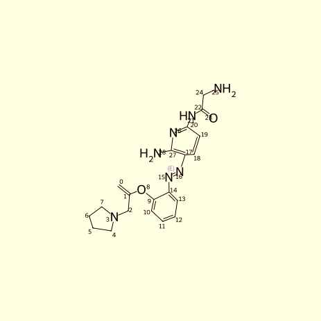 C=C(CN1CCCC1)Oc1ccccc1/N=N/c1ccc(NC(=O)CN)nc1N